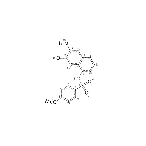 COc1ccc(S(=O)(=O)Oc2cccc3cc(N)c(=O)oc23)cc1